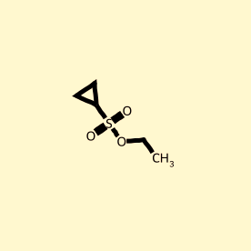 CCOS(=O)(=O)C1CC1